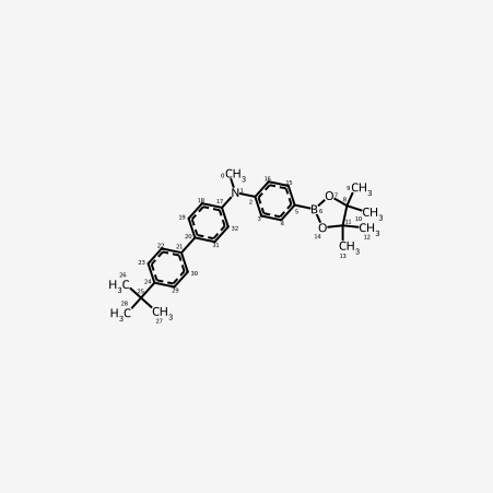 CN(c1ccc(B2OC(C)(C)C(C)(C)O2)cc1)c1ccc(-c2ccc(C(C)(C)C)cc2)cc1